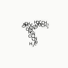 COc1ccc(Cl)c(CN2Cc3nc(OC[C@@H]4CCCN4C)nc(N4CCN(C(=O)OC(C)(C)C)C[C@@H]4C)c3C2)n1